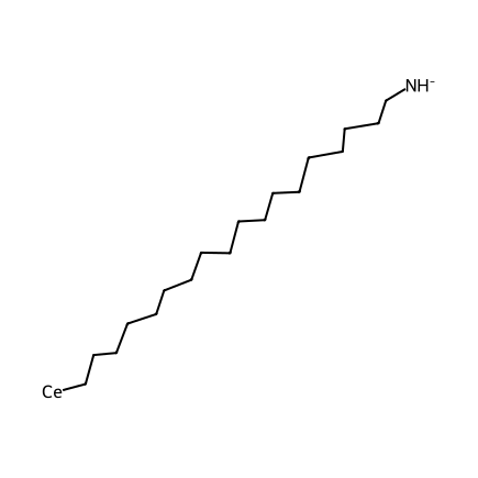 [NH-]CCCCCCCCCCCCCCCCC[CH2][Ce]